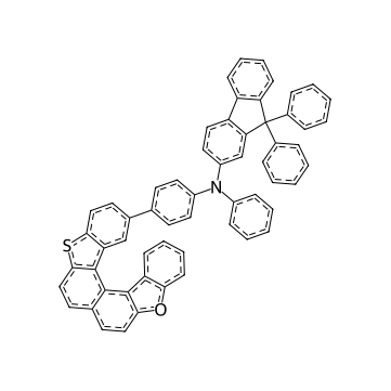 c1ccc(N(c2ccc(-c3ccc4sc5ccc6ccc7oc8ccccc8c7c6c5c4c3)cc2)c2ccc3c(c2)C(c2ccccc2)(c2ccccc2)c2ccccc2-3)cc1